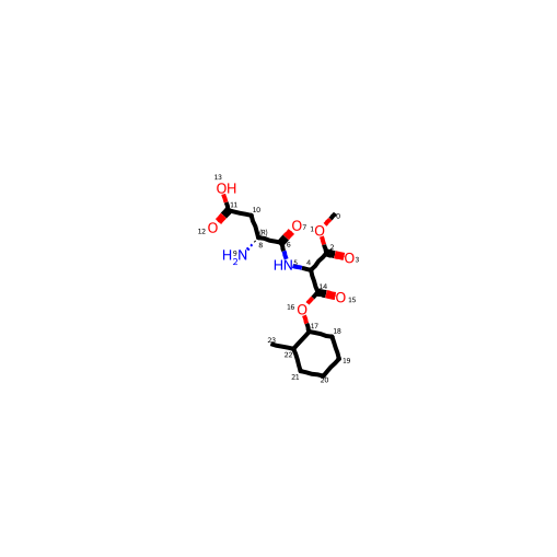 COC(=O)C(NC(=O)[C@H](N)CC(=O)O)C(=O)OC1CCCCC1C